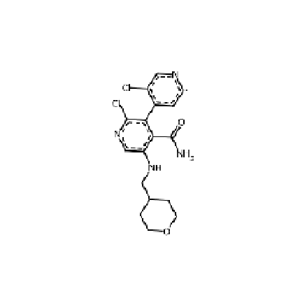 NC(=O)c1c(NCC2CCOCC2)cnc(Cl)c1-c1c[c]ncc1Cl